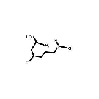 CCC(CCCB(O)O)CC(N)C(=O)O